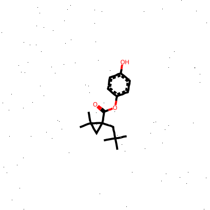 CC(C)(C)CC1(C(=O)Oc2ccc(O)cc2)CC1(C)C